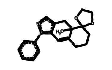 CC12Cc3cnn(-c4ccccc4)c3C=C1CCCC21OCCO1